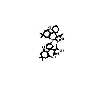 Cc1[nH]nc2c1C1(CCC(N3C4=C(C(=O)CC(C)(C)C4)C4(CCCCC4)c4c3n[nH]c4C)C1)C1=C(CC(C)(C)CC1=O)N2